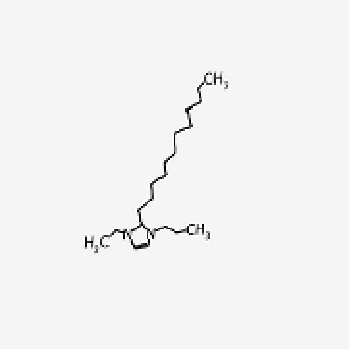 CCCCCCCCCCCCC1N(CC)C=CN1CCC